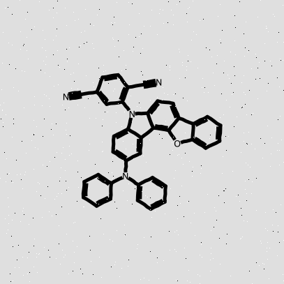 N#Cc1ccc(C#N)c(-n2c3ccc(N(c4ccccc4)c4ccccc4)cc3c3c4oc5ccccc5c4ccc32)c1